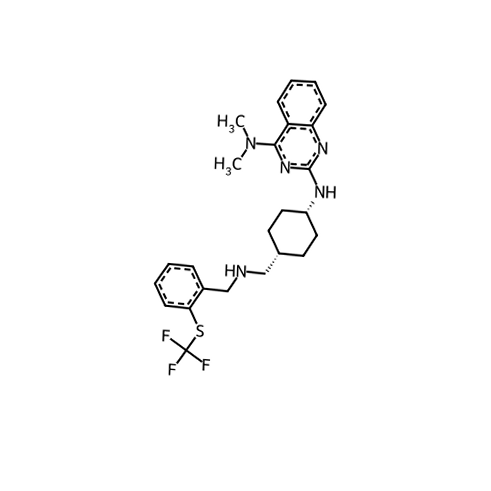 CN(C)c1nc(N[C@H]2CC[C@@H](CNCc3ccccc3SC(F)(F)F)CC2)nc2ccccc12